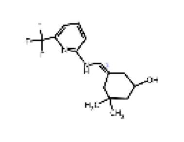 CC1(C)C/C(=C\Nc2cccc(C(F)(F)F)n2)CC(O)C1